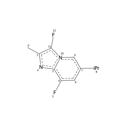 Cc1nc2c(F)cc(C(C)C)cn2c1F